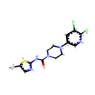 Cc1cnc(NC(=O)N2CCN(c3cnc(Cl)c(Cl)c3)CC2)s1